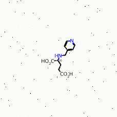 O=C(O)CC[C@H](NCc1ccncc1)C(=O)O